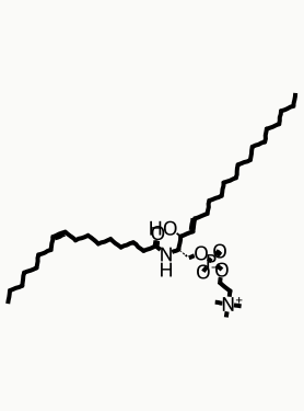 CCCCCCC/C=C\CCCCCCCC(=O)N[C@@H](COP(=O)([O-])OCC[N+](C)(C)C)[C@H](O)/C=C/CCCCCCCCCCCCCC